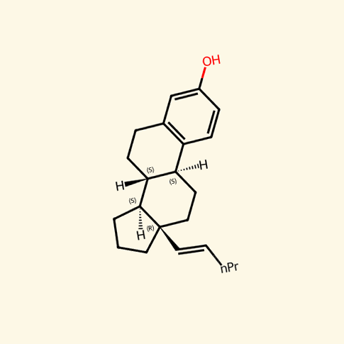 CCCC=C[C@@]12CCC[C@H]1[C@@H]1CCc3cc(O)ccc3[C@H]1CC2